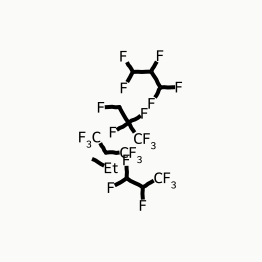 CCC.FC(F)(F)CC(F)(F)F.FC(F)C(F)C(F)(F)F.FC(F)C(F)C(F)F.FCC(F)(F)C(F)(F)F